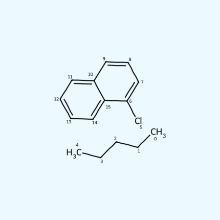 CCCCC.Clc1cccc2ccccc12